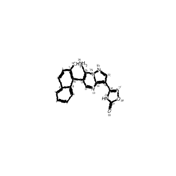 Cc1ccc2ccccc2c1-c1cnc2c(-c3noc(=O)[nH]3)cnn2c1N